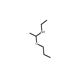 CCCOC(C)NCC